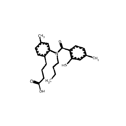 CCCCN(C(=O)c1ccc(C)cc1S)c1cc(C)ccc1CCCC(=O)O